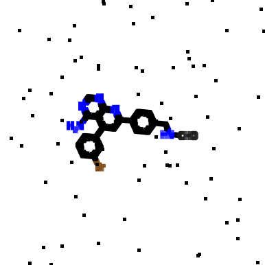 Nc1ncnc2nc(-c3ccc(CNC=O)cc3)cc(-c3cccc(Br)c3)c12